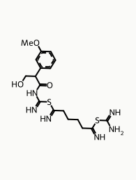 COc1cccc(C(CO)C(=O)NC(=N)SC(=N)CCCCC(=N)SC(=N)N)c1